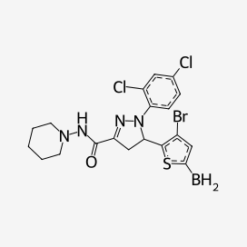 Bc1cc(Br)c(C2CC(C(=O)NN3CCCCC3)=NN2c2ccc(Cl)cc2Cl)s1